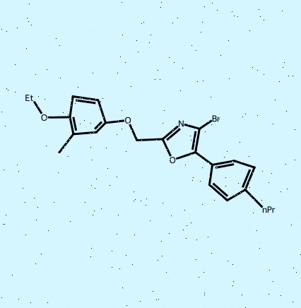 CCCc1ccc(-c2oc(COc3ccc(OCC)c(C)c3)nc2Br)cc1